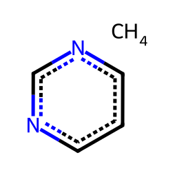 C.c1cncnc1